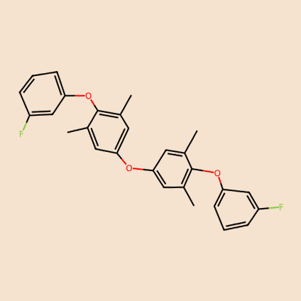 Cc1cc(Oc2cc(C)c(Oc3cccc(F)c3)c(C)c2)cc(C)c1Oc1cccc(F)c1